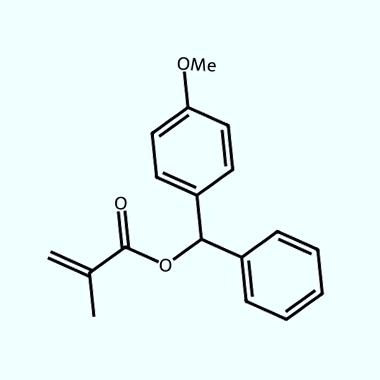 C=C(C)C(=O)OC(c1ccccc1)c1ccc(OC)cc1